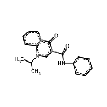 CC(C)n1cc(C(=O)Nc2ccccc2)c(=O)c2ccccc21